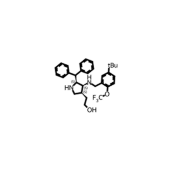 CC(C)(C)c1ccc(OC(F)(F)F)c(CN[C@H]2[C@@H](CCO)CN[C@H]2C(c2ccccc2)c2ccccc2)c1